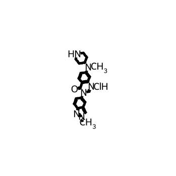 CN(c1ccc2c(=O)n(-c3ccc4nn(C)cc4c3)cnc2c1)C1CCNCC1.Cl